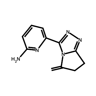 C=C1CCc2nnc(-c3cccc(N)n3)n21